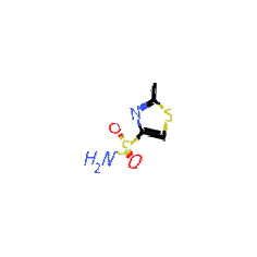 Cc1nc(S(N)(=O)=O)cs1